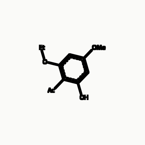 CCOc1cc(OC)cc(O)c1C(C)=O